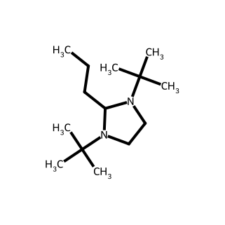 CCCC1N(C(C)(C)C)CCN1C(C)(C)C